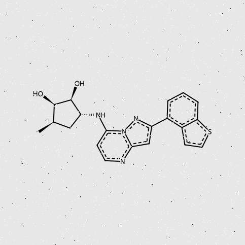 [CH2][C@@H]1C[C@@H](Nc2ccnc3cc(-c4cccc5sccc45)nn23)[C@H](O)[C@@H]1O